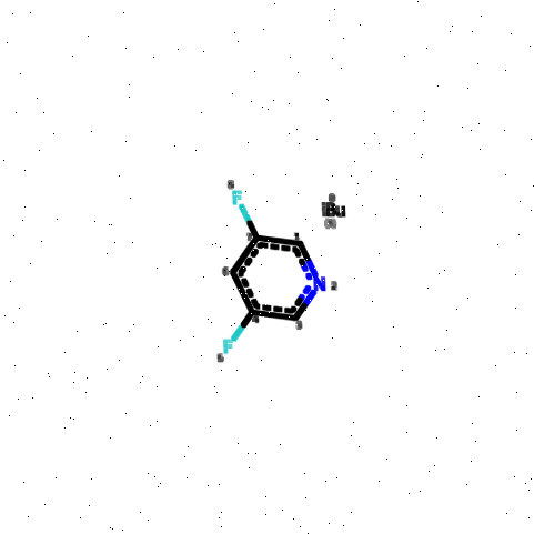 CC[C@H](C)c1ncc(F)cc1F